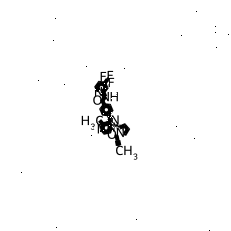 CC#CC(=O)N1CCC[C@H]1c1nc(-c2ccc(C(=O)Nc3cc(C(F)(F)F)ccn3)cc2)c2c(C)nccn12